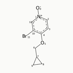 [O-][n+]1ccc(OCC2CC2)c(Br)c1